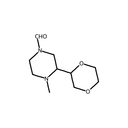 CN1CCN(C=O)CC1C1COCCO1